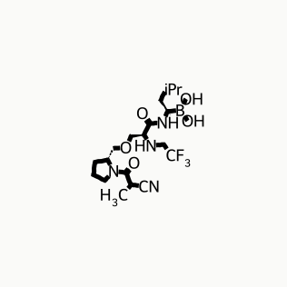 CC(C)C[C@H](NC(=O)[C@H](COC[C@H]1CCCN1C(=O)C(C)C#N)NCC(F)(F)F)B(O)O